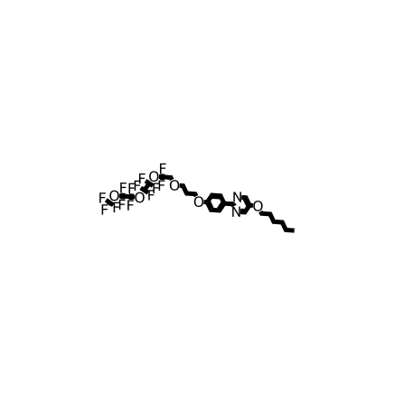 CCCCCCOc1cnc(-c2ccc(OCCCOCC(F)(F)OC(F)(F)C(F)(F)OC(F)(F)C(F)(F)OC(F)(F)F)cc2)nc1